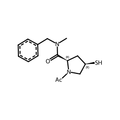 CC(=O)N1C[C@H](S)C[C@@H]1C(=O)N(C)Cc1ccccc1